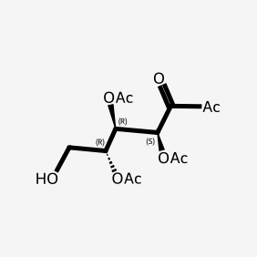 CC(=O)O[C@@H]([C@H](OC(C)=O)C(=O)C(C)=O)[C@@H](CO)OC(C)=O